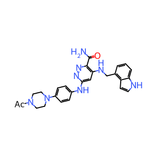 CC(=O)N1CCN(c2ccc(Nc3cc(NCc4cccc5[nH]ccc45)c(C(N)=O)nn3)cc2)CC1